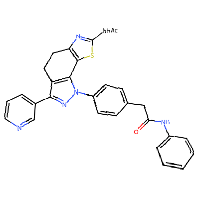 CC(=O)Nc1nc2c(s1)-c1c(c(-c3cccnc3)nn1-c1ccc(CC(=O)Nc3ccccc3)cc1)CC2